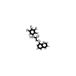 Cc1c(NC(=O)COc2cccc3cccnc23)cc(F)c(F)c1F